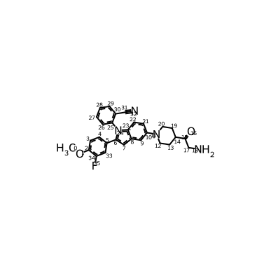 COc1ccc(-c2cc3cc(N4CCC(C(=O)CN)CC4)ccc3n2-c2ccccc2C#N)cc1F